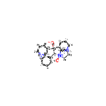 [O-][N+]1(C(c2ccccc2)C(O)(c2cccnc2)c2cccnc2)CCCC1